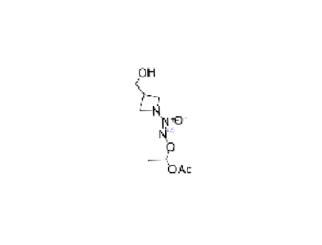 CC(=O)OC(C)O/N=[N+](\[O-])N1CC(CO)C1